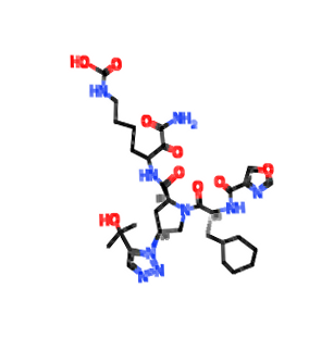 CC(C)(O)c1cnnn1[C@H]1C[C@@H](C(=O)NC(CCCCNC(=O)O)C(=O)C(N)=O)N(C(=O)[C@@H](CC2CCCCC2)NC(=O)c2cocn2)C1